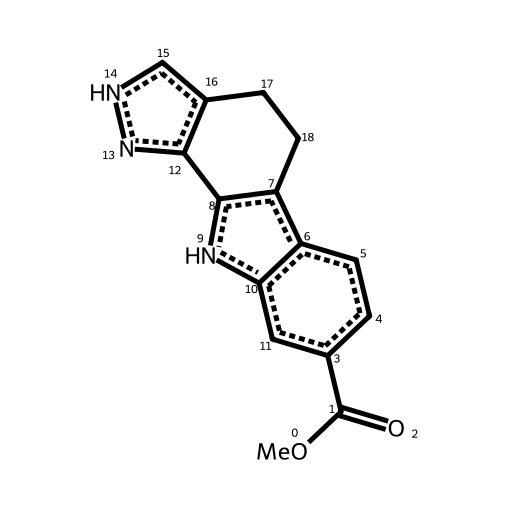 COC(=O)c1ccc2c3c([nH]c2c1)-c1n[nH]cc1CC3